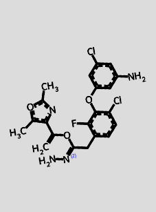 C=C(O/C(Cc1ccc(Cl)c(Oc2cc(N)cc(Cl)c2)c1F)=N\N)c1nc(C)oc1C